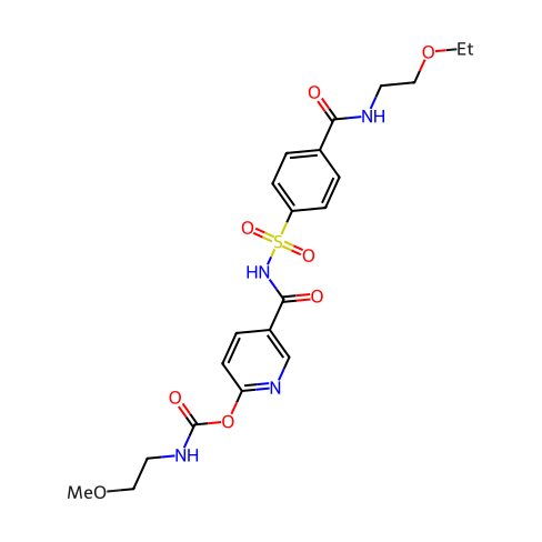 CCOCCNC(=O)c1ccc(S(=O)(=O)NC(=O)c2ccc(OC(=O)NCCOC)nc2)cc1